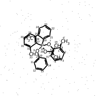 Cc1ccccc1OP(Oc1ccccc1)(OC(C)C)(c1ccccc1C)c1ccccc1C